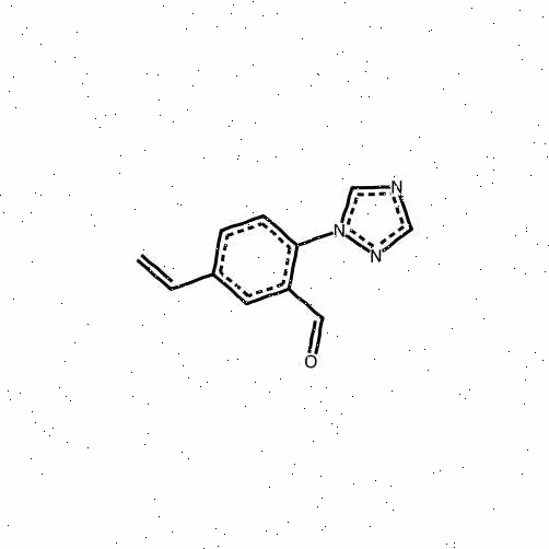 C=Cc1ccc(-n2cncn2)c(C=O)c1